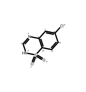 O=S1(=O)N[C]=Nc2cc(Cl)ccc21